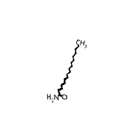 CCCCCCCCCCCC=CC=CC=CC(N)=O